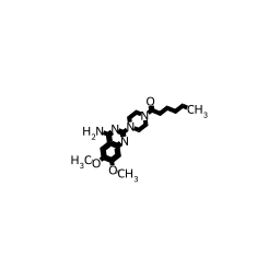 CCCCCC(=O)N1CCN(c2nc(N)c3cc(OC)c(OC)cc3n2)CC1